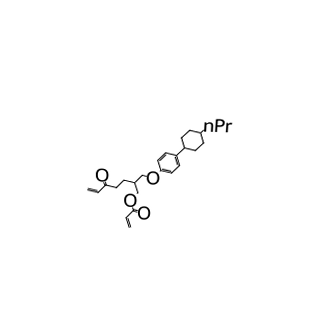 C=CC(=O)CCC(COC(=O)C=C)COc1ccc(C2CCC(CCC)CC2)cc1